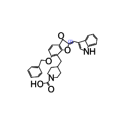 O=C1/C(=C/c2c[nH]c3ccccc23)Oc2c1ccc(OCc1ccccc1)c2CC1CCN(C(=O)O)CC1